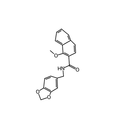 COc1c(C(=O)NCc2ccc3c(c2)OCO3)ccc2ccccc12